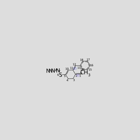 C/C=C1/CCC(SN=[N+]=[N-])=C/C1=C/c1ccccc1